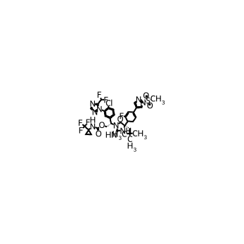 CC(C)(C)C[C@]1(C2CC=C(c3cnn(S(C)(=O)=O)c3)C=C2F)NC(=N)N([C@H](COC(=O)NC2(C(F)(F)F)CC2)c2ccc(Cl)c(-n3ncnc3C(F)F)c2)C1=O